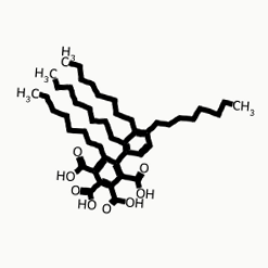 CCCCCCCCc1ccc(-c2c(CCCCCCCC)c(C(=O)O)c(C(=O)O)c(C(=O)O)c2C(=O)O)c(CCCCCCCC)c1CCCCCCCC